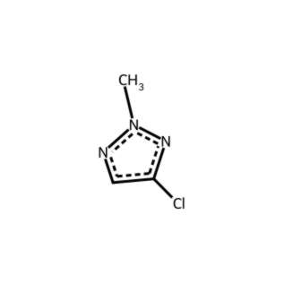 Cn1ncc(Cl)n1